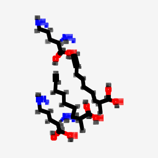 C#CCCCCCC(C)C(=O)O.C#CCCCCCC(C)C(=O)O.NCCC[C@H](N)C(=O)O.NCCC[C@H](N)C(=O)O